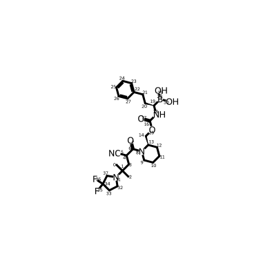 CC(C)(CC(C#N)C(=O)N1CCCC[C@@H]1COC(=O)N[C@@H](CCc1ccccc1)B(O)O)N1CCC(F)(F)C1